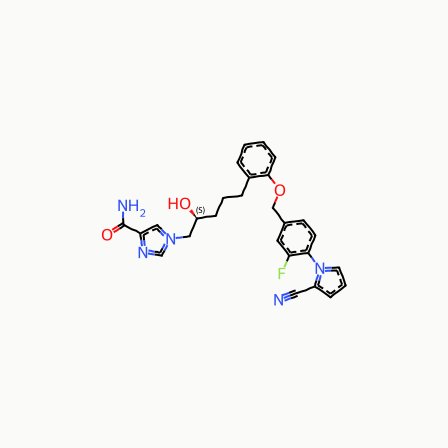 N#Cc1cccn1-c1ccc(COc2ccccc2CCC[C@H](O)Cn2cnc(C(N)=O)c2)cc1F